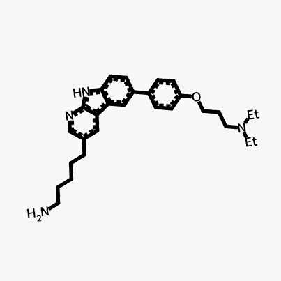 CCN(CC)CCCOc1ccc(-c2ccc3[nH]c4ncc(CCCCCN)cc4c3c2)cc1